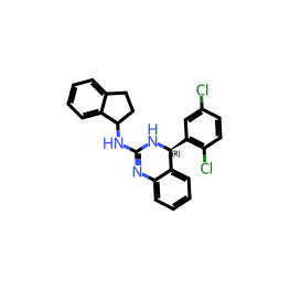 Clc1ccc(Cl)c([C@@H]2NC(NC3CCc4ccccc43)=Nc3ccccc32)c1